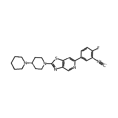 [C-]#[N+]c1cc(-c2cc3sc(N4CCC(N5CCCCC5)CC4)nc3cn2)ccc1F